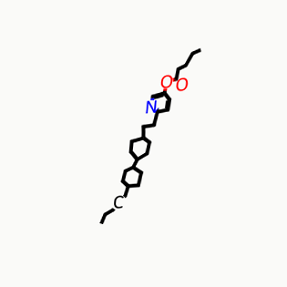 CCCCCC1CCC(C2CCC(CCc3ccc(OC(=O)CCCC)cn3)CC2)CC1